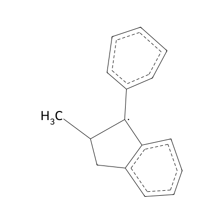 CC1Cc2ccccc2[C]1c1ccccc1